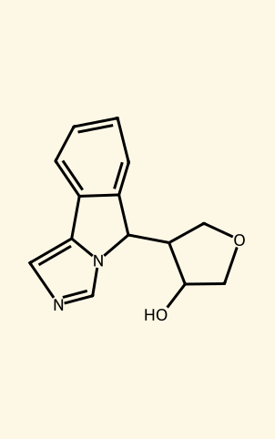 OC1COCC1C1c2ccccc2-c2cncn21